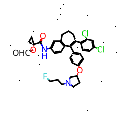 O=COC1(C(=O)Nc2ccc3c(c2)CCCC(c2ccc(Cl)cc2Cl)=C3c2ccc(O[C@H]3CCN(CCCF)C3)cc2)CC1